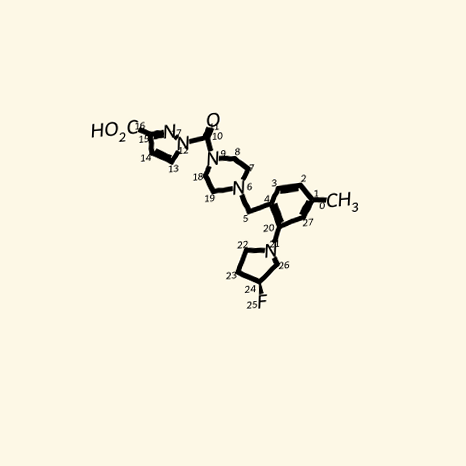 Cc1ccc(CN2CCN(C(=O)n3ccc(C(=O)O)n3)CC2)c(N2CC[C@H](F)C2)c1